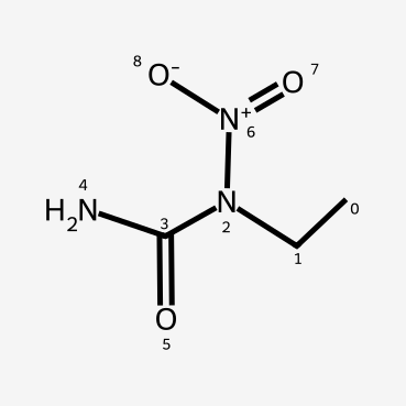 CCN(C(N)=O)[N+](=O)[O-]